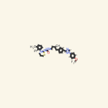 Cc1cccc(N2CCCS/C2=N\C(=O)NCCC(C)Cc2ccc(-c3ncn(-c4ccc(OC(F)(F)F)cc4)n3)cc2)c1C(C)C